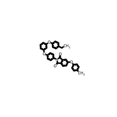 CCc1ccc(Oc2cccc(Oc3ccc(N4C(=O)c5ccc(Oc6ccc(C)cc6)cc5C4=O)cc3)c2)cc1